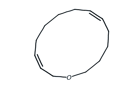 C1=C\CCCCOC/C=C\CCCC/1